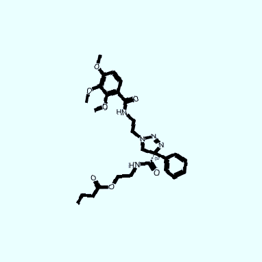 CCCC(=O)OCCNC(=O)[C@]1(c2ccccc2)CN(CCNC(=O)c2ccc(OC)c(OC)c2OC)N=N1